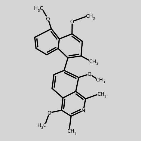 COc1c(C)nc(C)c2c(OC)c(-c3c(C)cc(OC)c4c(OC)cccc34)ccc12